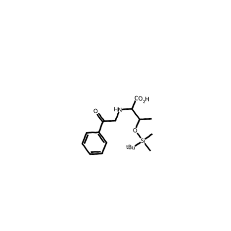 CC(O[Si](C)(C)C(C)(C)C)C(NCC(=O)c1ccccc1)C(=O)O